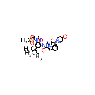 COc1c(NC(=O)c2cc3cccc(C(=O)N4CCC(=O)CC4)c3n2C)cc(C(C)(C)C)cc1NS(C)(=O)=O